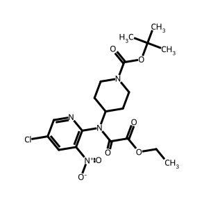 CCOC(=O)C(=O)N(c1ncc(Cl)cc1[N+](=O)[O-])C1CCN(C(=O)OC(C)(C)C)CC1